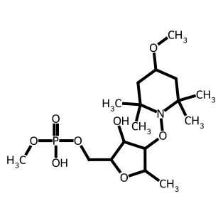 COC1CC(C)(C)N(OC2C(C)OC(COP(=O)(O)OC)C2O)C(C)(C)C1